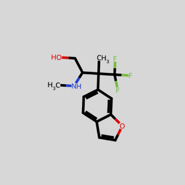 CNC(CO)C(C)(c1ccc2ccoc2c1)C(F)(F)F